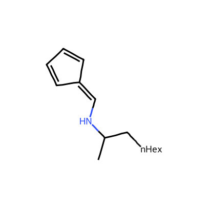 CCCCCCCC(C)NC=C1C=CC=C1